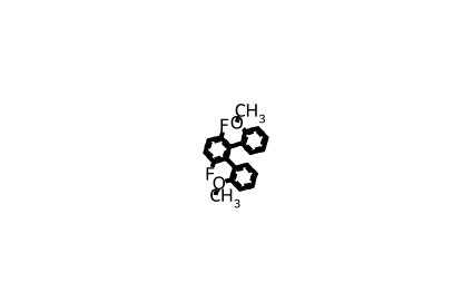 COc1ccccc1-c1c(F)ccc(F)c1-c1ccccc1OC